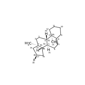 C[C@]12CC[C@H]3[C@@H](CC=C4CCCC[C@@]43C)[C@@H]1C[C@@H](F)C2